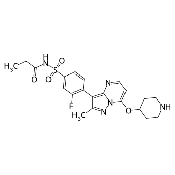 CCC(=O)NS(=O)(=O)c1ccc(-c2c(C)nn3c(OC4CCNCC4)ccnc23)c(F)c1